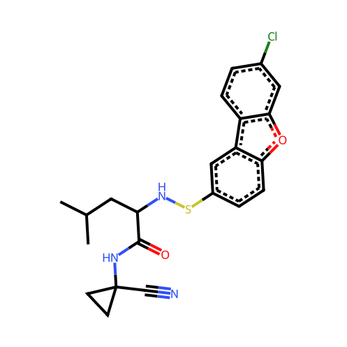 CC(C)CC(NSc1ccc2oc3cc(Cl)ccc3c2c1)C(=O)NC1(C#N)CC1